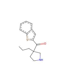 CCCC1(C(=O)c2cc3ccccc3s2)CCNC1